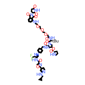 CC(C)(C)C(NC(=O)COCCOCCOCCNc1cccc2c1C(=O)N(C1CCC(=O)NC1=O)C2=O)C(=O)N1C[C@H](OC(=O)[C@@H]2CCCN2)C[C@H]1C(=O)NCc1ccc(-n2cc(NC(=O)c3coc(-c4ccnc(NCC5CC5)c4)n3)c(C(F)F)n2)cc1